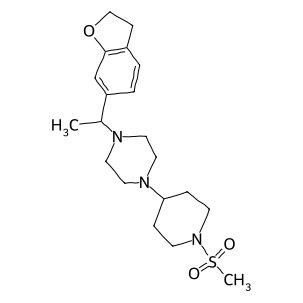 CC(c1ccc2c(c1)OCC2)N1CCN(C2CCN(S(C)(=O)=O)CC2)CC1